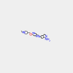 CCN1CCC(COc2ccc(CNc3ccc4c(N)nccc4c3)cn2)CC1